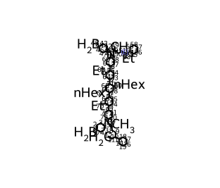 BC1=CCC(N(C(C)CCC(C=C)C2CCCCC2)C2C=CC(C3C=CC(C4CC(CCCCCC)C(C5C=CC(C6C=CC(N(C7=CCC(B)CC7)C(C)C/C=C(\CC)C7CC=CCC7)CC6)C(CC)C5)C=C4CCCCCC)CC3CC)CC2)CC1